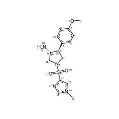 COc1ccc([C@H]2CN(S(=O)(=O)c3cn(C)cn3)C[C@@H]2N)cc1